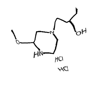 COC1CN(CC(C)O)CCN1.Cl.Cl